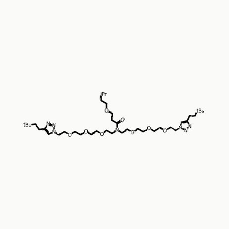 CC(C)CCOCCC(=O)N(CCOCCOCCOCCn1cc(CCC(C)(C)C)nn1)CCOCCOCCOCCn1cc(CCC(C)(C)C)nn1